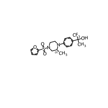 C[C@H]1CN(S(=O)(=O)c2ccco2)CCN1c1ccc(C(C)(O)C(F)(F)F)cc1